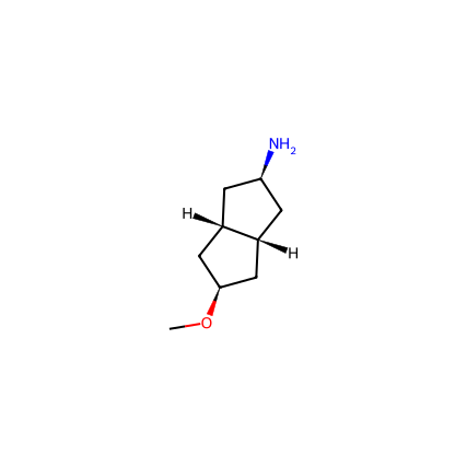 CO[C@@H]1C[C@H]2C[C@H](N)C[C@H]2C1